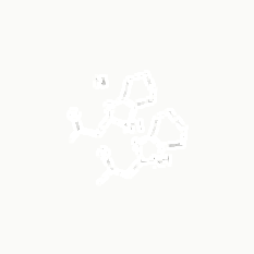 CC(=O)C=C1Nc2ccccc2S1.CC(=O)C=C1Nc2ccccc2S1.[Ni]